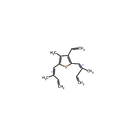 C=C/C(C)=C\c1sc(/C=C(/C)C=C)c(C=C)c1C